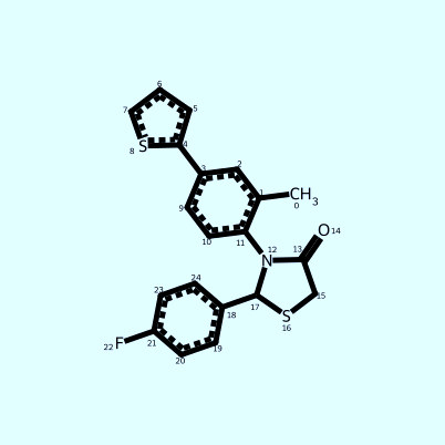 Cc1cc(-c2cccs2)ccc1N1C(=O)CSC1c1ccc(F)cc1